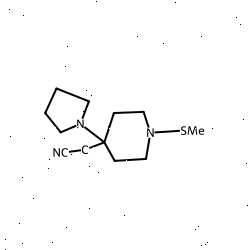 CSN1CCC(CC#N)(N2CCCC2)CC1